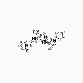 CCc1nn(C2CCN(C)CC2)cc1Nc1ncc(C(F)(F)F)c(NCCCN2CCCCC2=O)n1